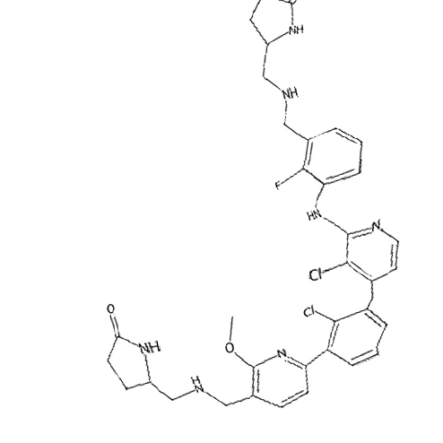 COc1nc(-c2cccc(-c3ccnc(Nc4cccc(CNCC5CCC(=O)N5)c4F)c3Cl)c2Cl)ccc1CNCC1CCC(=O)N1